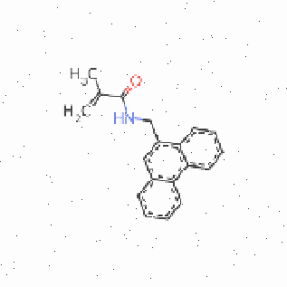 C=C(C)C(=O)NCc1cc2ccccc2c2ccccc12